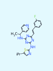 CC(C)c1cnc(Nc2nc(/C=C/c3cccc(F)c3)nc(NC(C)c3ccncc3)n2)s1